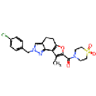 Cc1c(C(=O)N2CCS(=O)(=O)CC2)oc2c1-c1nn(Cc3ccc(Cl)cc3)cc1CC2